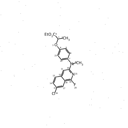 CCOC(=O)C(C)Oc1ccc(N(C)c2cc3ccc(Cl)cc3c(F)n2)cc1